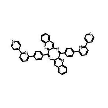 c1cc(-c2ccncc2)nc(-c2ccc(/C3=N/c4cc5ccccc5nc4/C(c4ccc(-c5cccc(-c6ccncc6)n5)cc4)=N\c4cc5ccccc5nc43)cc2)c1